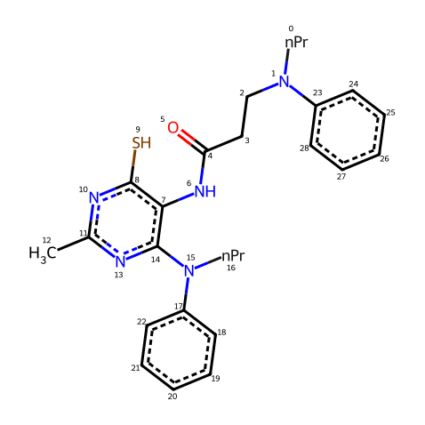 CCCN(CCC(=O)Nc1c(S)nc(C)nc1N(CCC)c1ccccc1)c1ccccc1